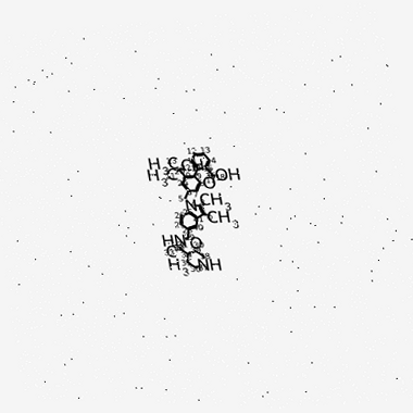 Cc1c(C)n(Cc2ccc(-c3ccccc3C(=O)O)c(C(C)(C)C)c2)c2ccc(C(=O)N[C@@H](C)C3CCNCC3)cc12